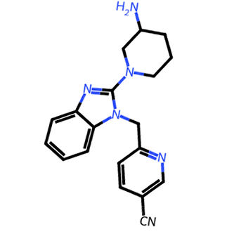 N#Cc1ccc(Cn2c(N3CCCC(N)C3)nc3ccccc32)nc1